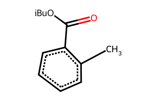 Cc1ccccc1C(=O)OCC(C)C